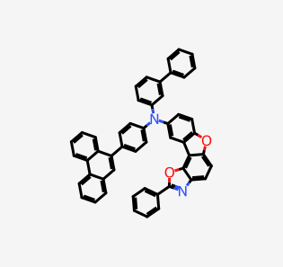 c1ccc(-c2cccc(N(c3ccc(-c4cc5ccccc5c5ccccc45)cc3)c3ccc4oc5ccc6nc(-c7ccccc7)oc6c5c4c3)c2)cc1